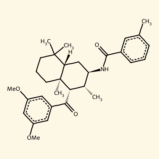 COc1cc(OC)cc(C(=O)[C@H]2[C@@H](C)[C@H](NC(=O)c3cccc(C)c3)C[C@H]3C(C)(C)CCC[C@]23C)c1